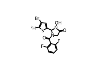 [2H]c1sc(C2N(O)C(=O)CN2C(=O)c2c(F)cccc2F)cc1Br